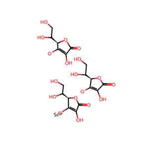 O=C1O[C@H](C(O)CO)C([O-])=C1O.O=C1O[C@H](C(O)CO)C([O-])=C1O.O=C1O[C@H](C(O)CO)C([O-])=C1O.[Sc+3]